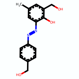 Cc1cc(CO)c(O)c(/N=N/c2ccc(CO)cc2)c1